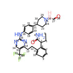 CCC(C(N)=O)c1ccccc1CCc1nc(Nc2ccc(C3CCN(BC=O)CC3)cc2)ncc1C(F)(F)F